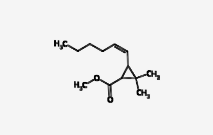 CCCC/C=C\C1C(C(=O)OC)C1(C)C